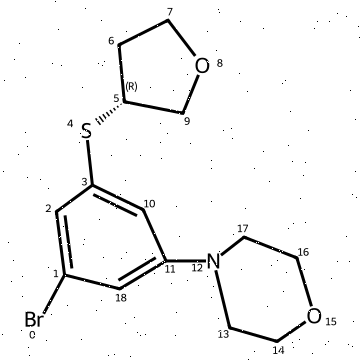 Brc1cc(S[C@@H]2CCOC2)cc(N2CCOCC2)c1